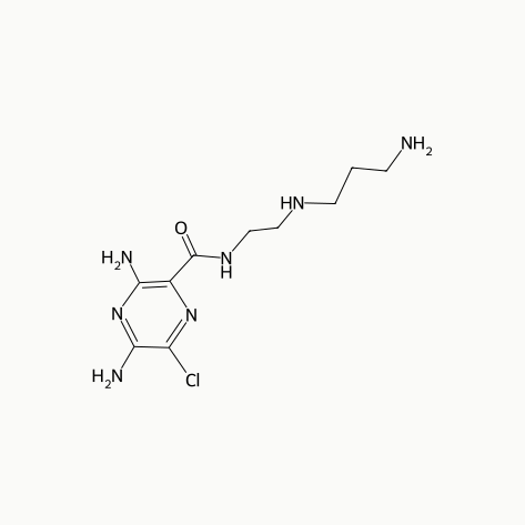 NCCCNCCNC(=O)c1nc(Cl)c(N)nc1N